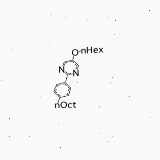 CCCCCCCCc1ccc(-c2ncc(OCCCCCC)cn2)cc1